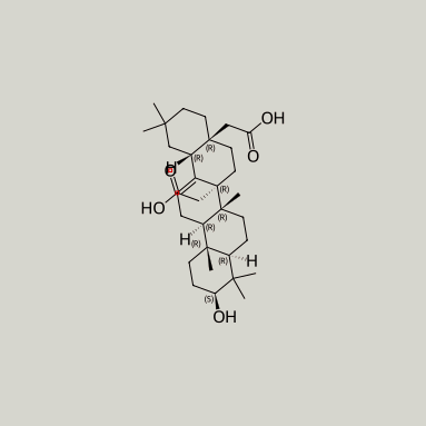 CC1(C)CC[C@]2(CC(=O)O)CC[C@]3(CC(=O)O)C(=CC[C@@H]4[C@@]5(C)CC[C@H](O)C(C)(C)[C@@H]5CC[C@]43C)[C@@H]2C1